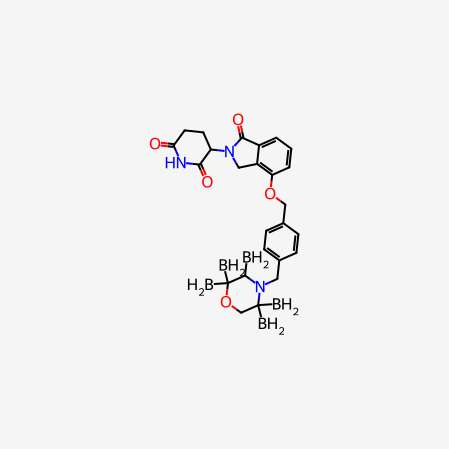 BC1N(Cc2ccc(COc3cccc4c3CN(C3CCC(=O)NC3=O)C4=O)cc2)C(B)(B)COC1(B)B